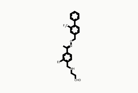 CCc1cc(/C(C)=N/OCc2ccc(-c3ccccc3)c(C(F)(F)F)c2)ccc1CNCCC=O